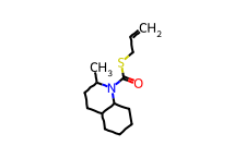 C=CCSC(=O)N1C(C)CCC2CCCCC21